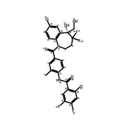 Cc1cc(C(=O)N2CCC(F)(F)[C@](O)(CO)c3cc(Cl)ccc32)ccc1NC(=O)c1cc(F)c(F)cc1Cl